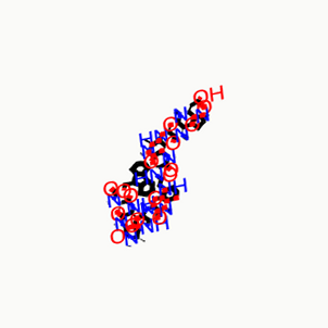 CC(C)C[C@H](NC(=O)[C@H](C)N(C)C(=O)OCC1c2ccccc2-c2ccccc21)C(=O)N(C)CC(=O)N(C)[C@@H](C)C(=O)N[C@@H](CC(C)C)C(=O)N(C)[C@@H](Cc1ccccc1)C(=O)N(C)[C@@H](C)C(=O)NCC(=O)N[C@@H](CC(C)C)C(=O)N(C)[C@@H](CC(C)C)C(=O)N(C)[C@@H](C)CN[C@@H](C)C(=O)N(C)[C@H](C(=O)N(C)[C@@H](CC(=O)O)C(=O)N(C)C)C1CCCC1